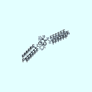 CCC1(CCC(F)(F)C(F)(F)C(F)(F)C(F)(F)C(F)(F)C(F)(F)F)OCC(C)(C)C(CCC(F)(F)C(F)(F)C(F)(F)C(F)(F)C(F)(F)C(F)(F)F)O1